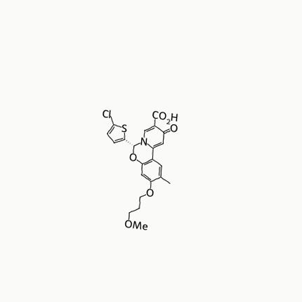 COCCCOc1cc2c(cc1C)-c1cc(=O)c(C(=O)O)cn1[C@@H](c1ccc(Cl)s1)O2